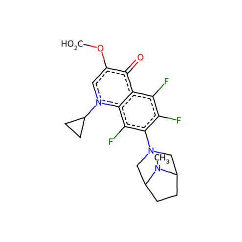 CN1C2CCC1CN(c1c(F)c(F)c3c(=O)c(OC(=O)O)cn(C4CC4)c3c1F)C2